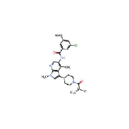 COc1cc(Cl)cc(C(=O)Nc2cnc3c(c(C4CCN(C(=O)[C@H](C)C(C)C)CC4)cn3C)c2C)c1